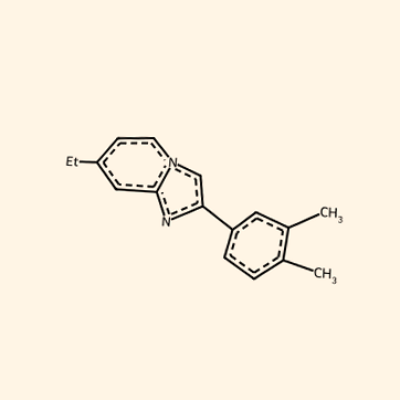 CCc1ccn2cc(-c3ccc(C)c(C)c3)nc2c1